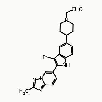 Cc1nc2ccc(-c3[nH]c4ccc(C5CCN(CC=O)CC5)cc4c3C(C)C)cn2n1